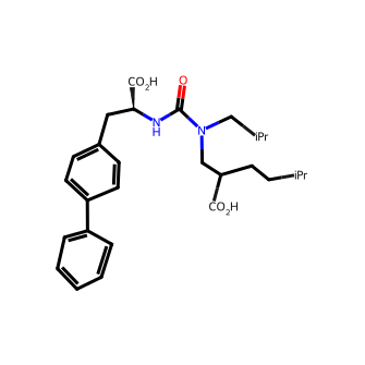 CC(C)CCC(CN(CC(C)C)C(=O)N[C@@H](Cc1ccc(-c2ccccc2)cc1)C(=O)O)C(=O)O